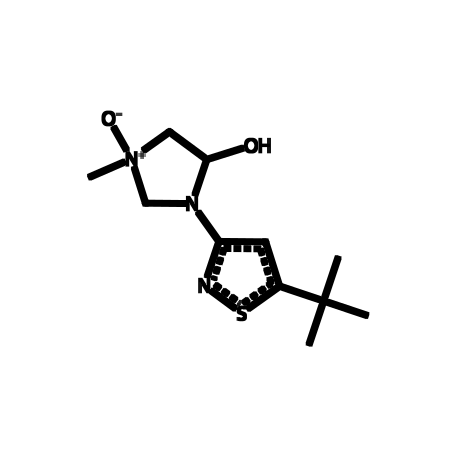 CC(C)(C)c1cc(N2C[N+](C)([O-])CC2O)ns1